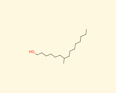 CCCCCCCCC(C)CCCCCCO